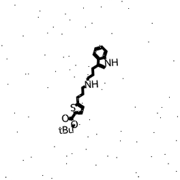 CC(C)(C)OC(=O)c1ccc(CCCNCCCc2c[nH]c3ccccc23)s1